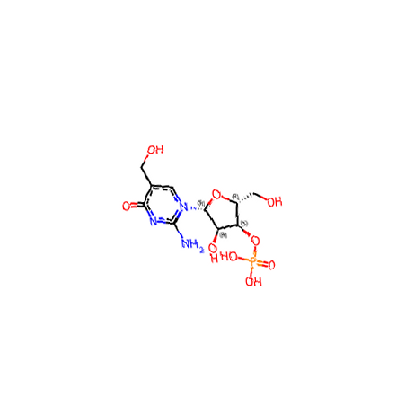 Nc1nc(=O)c(CO)cn1[C@@H]1O[C@H](CO)[C@@H](OP(=O)(O)O)[C@H]1O